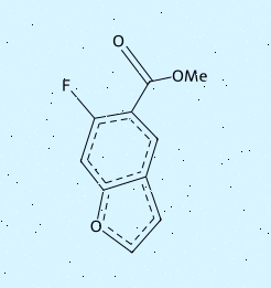 COC(=O)c1cc2ccoc2cc1F